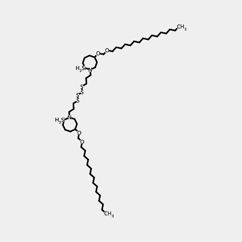 CCCCCCCCCCCCCCCCOCOC1CCC[SiH2]N(CCCSSSSCCCN2CCC(OCOCCCCCCCCCCCCCCCC)CCC[SiH2]2)CC1